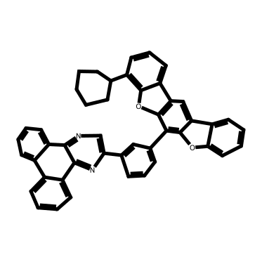 c1cc(-c2cnc3c4ccccc4c4ccccc4c3n2)cc(-c2c3oc4ccccc4c3cc3c2oc2c(C4CCCCC4)cccc23)c1